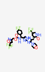 O=C(N[C@H](c1cn2nc(C[C@H]3C[C@@H](C(F)(F)F)CNC3=O)c(N3CCOCC3)nc2n1)C1CCC(F)(F)CC1)OCc1cc(C(F)(F)F)on1